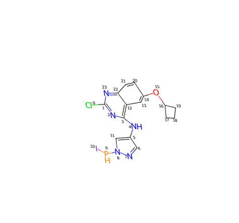 Clc1nc(Nc2cnn(PI)c2)c2cc(OC3CCC3)ccc2n1